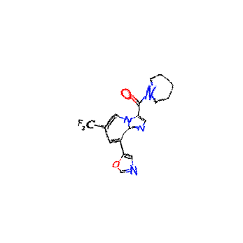 O=C(c1cnc2c(-c3cnco3)cc(C(F)(F)F)cn12)N1CCCCC1